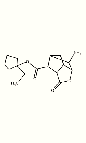 CCC1(OC(=O)C2C3CC4C(OC(=O)C42)C3N)CCCC1